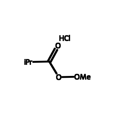 COOC(=O)C(C)C.Cl